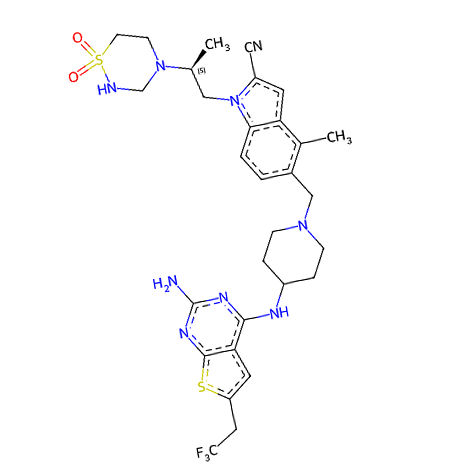 Cc1c(CN2CCC(Nc3nc(N)nc4sc(CC(F)(F)F)cc34)CC2)ccc2c1cc(C#N)n2C[C@H](C)N1CCS(=O)(=O)NC1